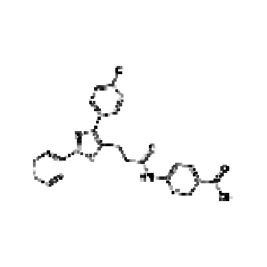 O=C(CCc1oc(-c2ccccc2)nc1-c1ccc(Cl)cc1)Nc1ccc(C(=O)O)cc1